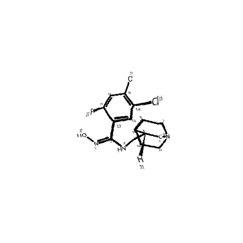 O/N=C(/N[C@H]1CN2CCC1CC2)c1cc(Cl)c(Cl)cc1F